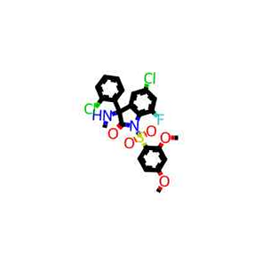 CNC1(c2ccccc2Cl)C(=O)N(S(=O)(=O)c2ccc(OC)cc2OC)c2c(F)cc(Cl)cc21